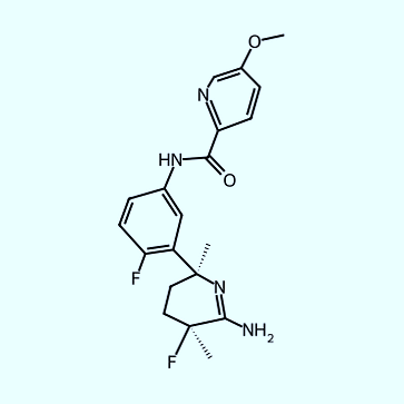 COc1ccc(C(=O)Nc2ccc(F)c([C@]3(C)CC[C@](C)(F)C(N)=N3)c2)nc1